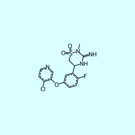 CN1C(=N)NC(c2cc(Oc3cnccc3Cl)ccc2F)CS1(=O)=O